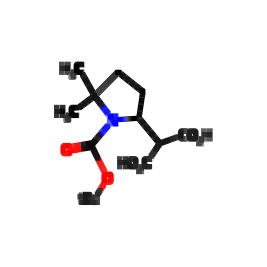 CC(C)(C)OC(=O)N1C(C(C(=O)O)C(=O)O)CCC1(C)C